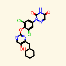 O=c1cnn(-c2cc(Cl)c(Oc3ncc(O)c(CC4CCCCC4)n3)c(Cl)c2)c(=O)[nH]1